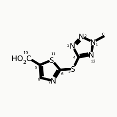 Cn1nnc(Sc2ncc(C(=O)O)s2)n1